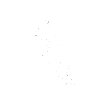 CCCCCc1ccc(OC(=O)c2ccc3c(c2F)C(F)C(F)c2c-3ccc(CCC)c2F)c(F)c1C